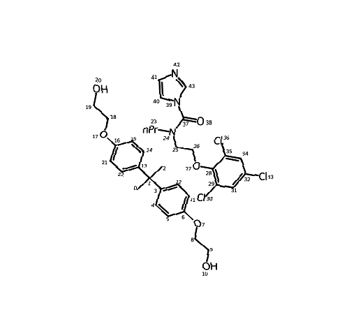 CC(C)(c1ccc(OCCO)cc1)c1ccc(OCCO)cc1.CCCN(CCOc1c(Cl)cc(Cl)cc1Cl)C(=O)n1ccnc1